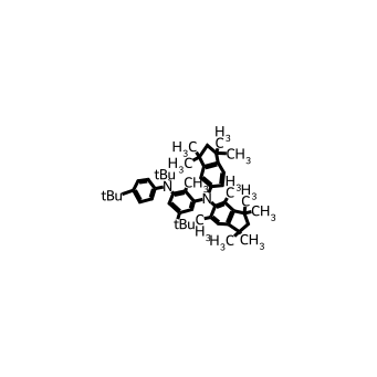 Cc1cc2c(c(C)c1N(c1ccc3c(c1)C(C)(C)CC3(C)C)c1cc(C(C)(C)C)cc(N(c3ccc(C(C)(C)C)cc3)C(C)(C)C)c1C)C(C)(C)CC2(C)C